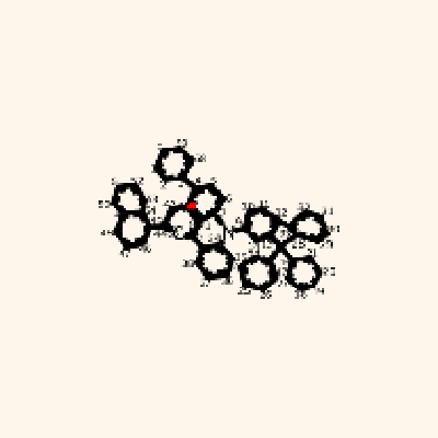 c1ccc(-c2ccc(N(c3ccc4c(c3)C(c3ccccc3)(c3ccccc3)c3ccccc3-4)c3ccccc3-c3cccc(-c4cccc5ccccc45)c3)cc2)cc1